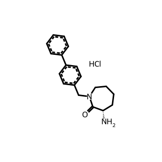 Cl.N[C@H]1CCCCN(Cc2ccc(-c3ccccc3)cc2)C1=O